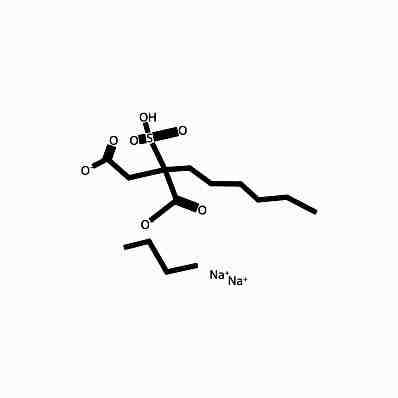 CCCC.CCCCCCC(CC(=O)[O-])(C(=O)[O-])S(=O)(=O)O.[Na+].[Na+]